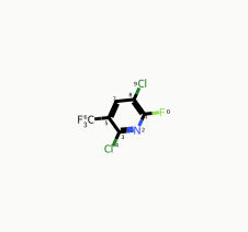 Fc1nc(Cl)c(C(F)(F)F)cc1Cl